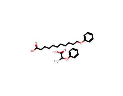 CC(Oc1ccccc1)C(=O)O.O=C(O)CCCCCCCCCCOc1ccccc1